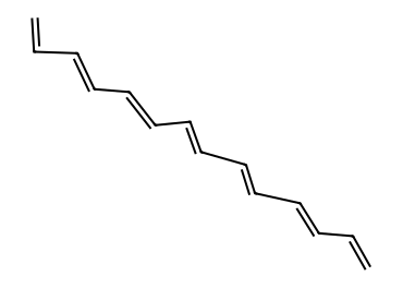 C=C/C=C/C=C/C=C/C=C/C=C/C=C